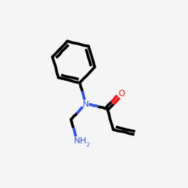 C=CC(=O)N(CN)c1ccccc1